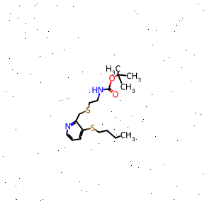 CCCCSc1cccnc1CSCCNC(=O)OC(C)(C)C